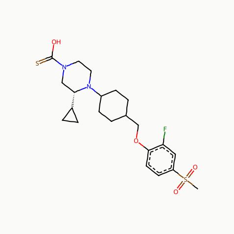 CS(=O)(=O)c1ccc(OCC2CCC(N3CCN(C(O)=S)C[C@H]3C3CC3)CC2)c(F)c1